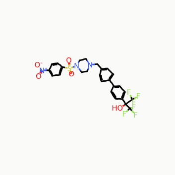 O=[N+]([O-])c1ccc(S(=O)(=O)N2CCN(Cc3ccc(-c4ccc(C(O)(C(F)(F)F)C(F)(F)F)cc4)cc3)CC2)cc1